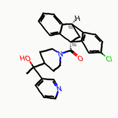 CC(O)(c1cccnc1)C1CCN(C(=O)[C@@]23C[C@@H](c4ccccc42)c2ccc(Cl)cc23)CC1